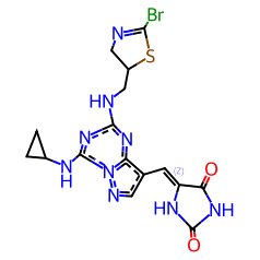 O=C1NC(=O)/C(=C/c2cnn3c(NC4CC4)nc(NCC4CN=C(Br)S4)nc23)N1